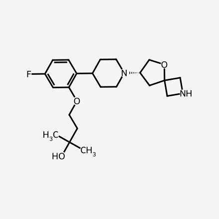 CC(C)(O)CCOc1cc(F)ccc1C1CCN([C@@H]2COC3(CNC3)C2)CC1